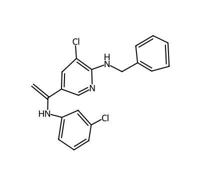 C=C(Nc1cccc(Cl)c1)c1cnc(NCc2ccccc2)c(Cl)c1